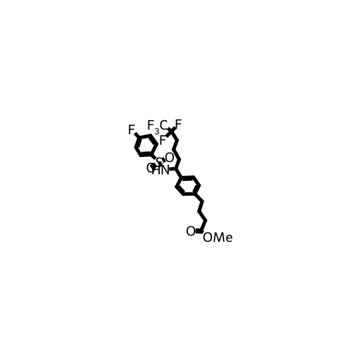 COC(=O)CCCc1ccc(C(CCCC(F)(F)C(F)(F)F)NS(=O)(=O)c2ccc(F)cc2)cc1